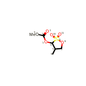 COC(=O)OC1C(C)COS1(=O)=O